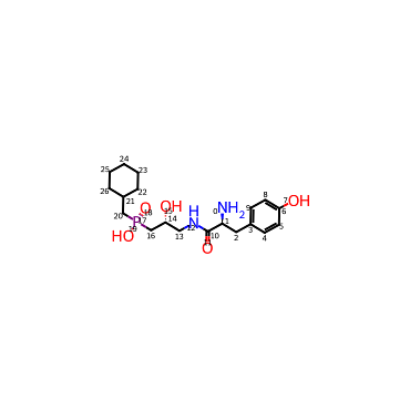 N[C@@H](Cc1ccc(O)cc1)C(=O)NC[C@@H](O)CP(=O)(O)CC1CCCCC1